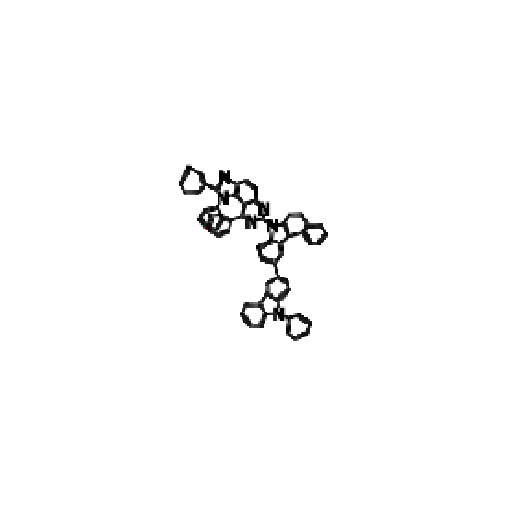 c1ccc(-c2nc(-n3c4ccc(-c5ccc6c(c5)c5ccccc5n6-c5ccccc5)cc4c4c5ccccc5ccc43)nc3ccc4nc(-c5ccccc5)n(-c5ccccc5)c4c23)cc1